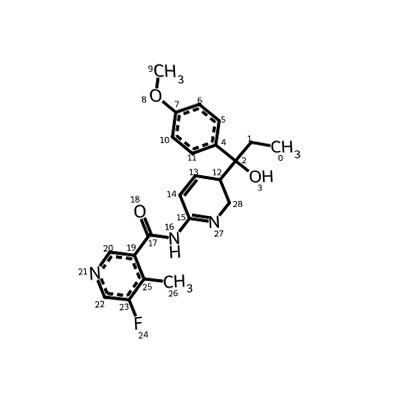 CCC(O)(c1ccc(OC)cc1)C1C=CC(NC(=O)c2cncc(F)c2C)=NC1